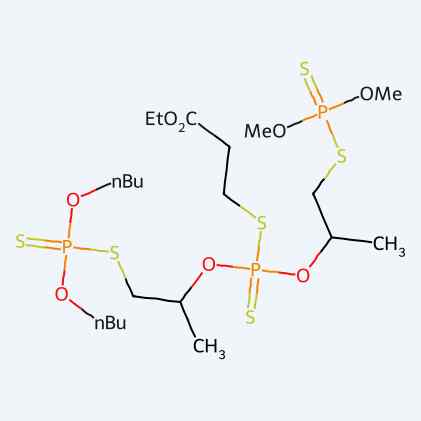 CCCCOP(=S)(OCCCC)SCC(C)OP(=S)(OC(C)CSP(=S)(OC)OC)SCCC(=O)OCC